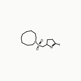 O=S(=O)(CC1CCC(I)=N1)N1CCCCCCCCC1